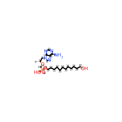 C[C@H](Cn1cnc2c(N)ncnc21)OCP(=O)(O)OCCCCCCCCCCCCO